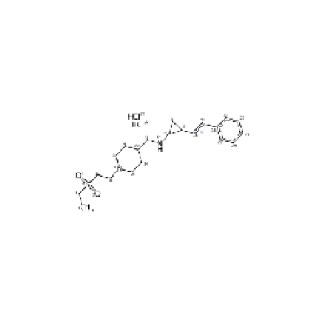 CCS(=O)(=O)CCN1CCC(CNC2CC2/C=C/c2ccccc2)CC1.Cl.Cl